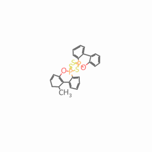 CC1CC=CC2=C1c1ccccc1P(=S)(SP1(=S)Oc3ccccc3-c3ccccc31)O2